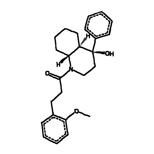 COc1ccccc1CCC(=O)N1CC[C@@](O)(c2ccccc2)[C@@H]2CCCC[C@H]21